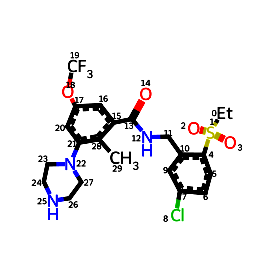 CCS(=O)(=O)c1ccc(Cl)cc1CNC(=O)c1cc(OC(F)(F)F)cc(N2CCNCC2)c1C